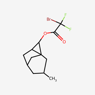 CC1CC2CC3C(OC(=O)C(F)(F)Br)C3(C1)C2